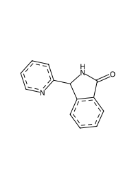 O=C1NC(c2ccccn2)c2ccccc21